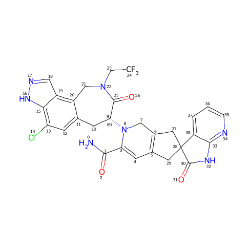 NC(=O)C1=CC2=C(CN1[C@@H]1Cc3cc(Cl)c4[nH]ncc4c3CN(CC(F)(F)F)C1=O)CC1(C2)C(=O)Nc2ncccc21